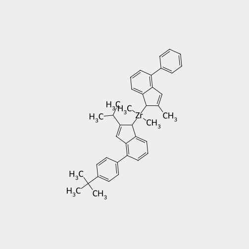 CC1=Cc2c(-c3ccccc3)cccc2[CH]1[Zr]([CH3])([CH3])[CH]1C(C(C)C)=Cc2c(-c3ccc(C(C)(C)C)cc3)cccc21